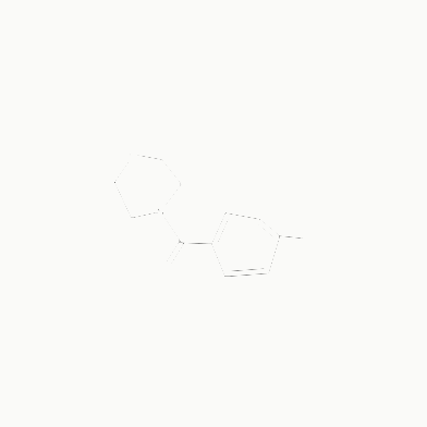 O=C(c1ccc(Cl)cc1)N1CCOCC1